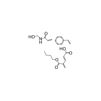 C=C(C=CC(=O)O)C(=O)OCCCC.C=CC(=O)NCO.C=Cc1ccccc1